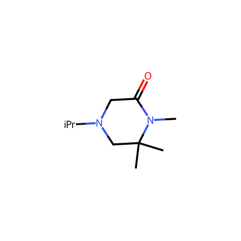 CC(C)N1CC(=O)N(C)C(C)(C)C1